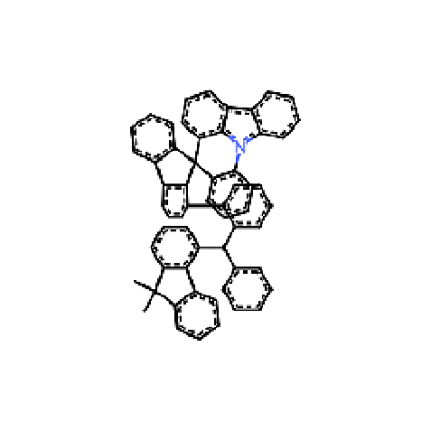 CC1(C)c2ccccc2-c2c(C(c3ccccc3)c3ccccc3-c3cccc4c3C3(c5ccccc5-4)c4ccccc4-n4c5ccccc5c5cccc3c54)cccc21